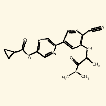 CC(Nc1cc(-c2cnc(NC(=O)C3CC3)cn2)cnc1C#N)C(=O)N(C)C